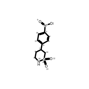 O=[N+]([O-])c1ccc(C2CCNS(=O)(=O)C2)cc1